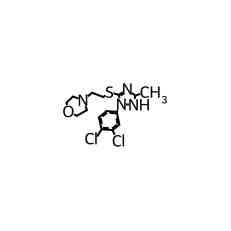 CC1N=C(SCCN2CCOCC2)N(c2ccc(Cl)c(Cl)c2)N1